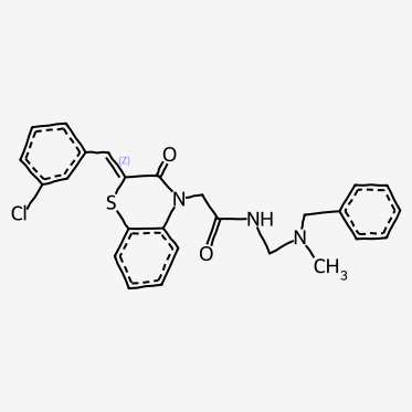 CN(CNC(=O)CN1C(=O)/C(=C/c2cccc(Cl)c2)Sc2ccccc21)Cc1ccccc1